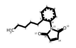 CCCCCc1ccccc1N1C(=O)C=CC1=O